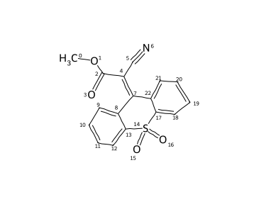 COC(=O)C(C#N)=C1c2ccccc2S(=O)(=O)c2ccccc21